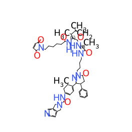 C=C(C)C(C)[C@H](NC(=O)CCCCCN1C(=O)C=CC1=O)C(=O)N[C@@H](C)C(=O)NCCCCN1N=C(C2=CC=C(NC(=O)N3Cc4ccncc4C3)CC2C)C(c2ccccc2)CC1=O